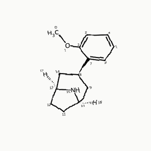 COc1ccccc1[C@H]1C[C@H]2CC[C@@H](C1)N2